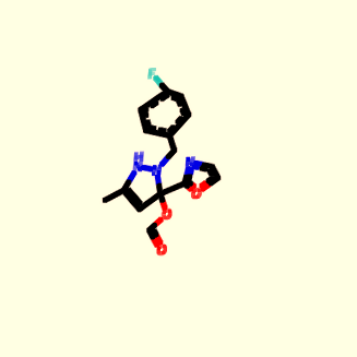 CC1=CC(OC=O)(c2ncco2)N(Cc2ccc(F)cc2)N1